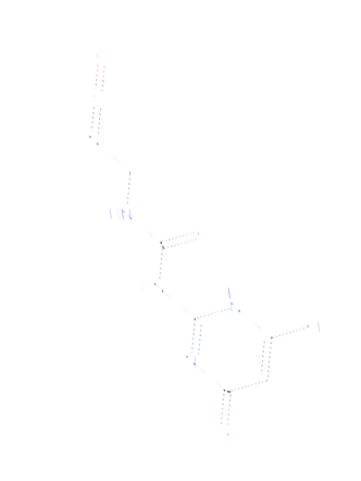 Cc1cc(=O)nc(NC(=O)NCN=C=O)[nH]1